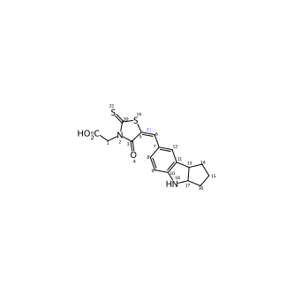 O=C(O)CN1C(=O)/C(=C\c2ccc3c(c2)C2CCCC2N3)SC1=S